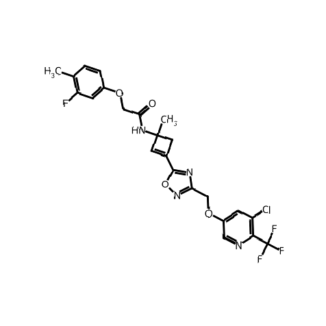 Cc1ccc(OCC(=O)NC2(C)C=C(c3nc(COc4cnc(C(F)(F)F)c(Cl)c4)no3)C2)cc1F